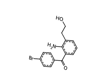 Nc1c(CCO)cccc1C(=O)c1ccc(Br)cc1